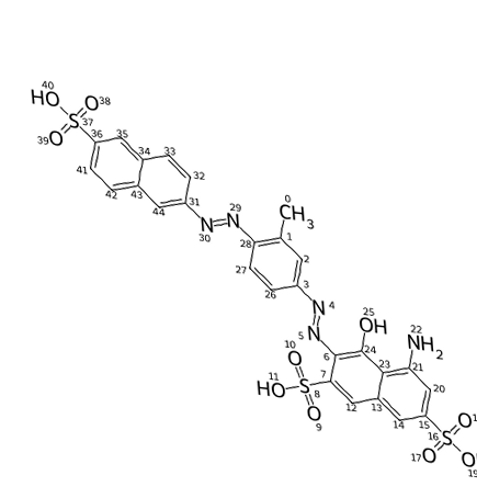 Cc1cc(N=Nc2c(S(=O)(=O)O)cc3cc(S(=O)(=O)O)cc(N)c3c2O)ccc1N=Nc1ccc2cc(S(=O)(=O)O)ccc2c1